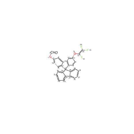 O=COc1ccc(C2(c3ccc(OC(F)=C(F)F)cc3)c3ccccc3-c3ccccc32)cc1